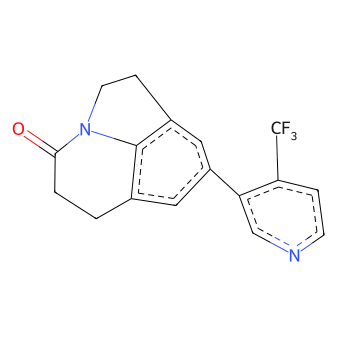 O=C1CCc2cc(-c3cnccc3C(F)(F)F)cc3c2N1CC3